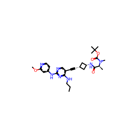 CCCNc1nc(Nc2ccnc(OC)c2)ncc1C#C[C@H]1C[C@@H](NC(=O)[C@H](C)N(C)C(=O)OC(C)(C)C)C1